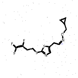 FC(F)=C(F)CCSc1ncc(C/C=N\OCC2CC2)s1